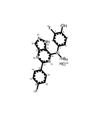 CCCCN(c1ccc(O)c(F)c1)c1nc(-c2ccc(F)cc2)nc2cn[nH]c12.Cl